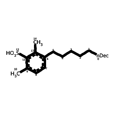 CCCCCCCCCCCCCCCc1ccc(C)c(S(=O)(=O)O)c1C